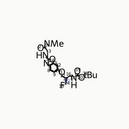 CNC(=O)CNc1nc2ccc(OC/C(=C\F)CNC(=O)OC(C)(C)C)cc2o1